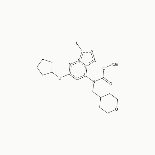 CC(C)(C)OC(=O)N(CC1CCOCC1)c1cc(OC2CCCC2)nn2c(I)nnc12